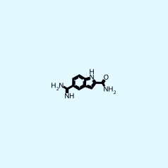 N=C(N)c1ccc2[nH]c(C(N)=O)cc2c1